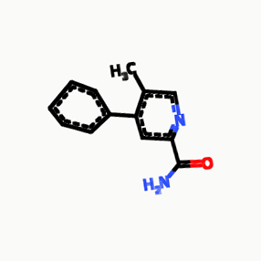 Cc1cnc(C(N)=O)cc1-c1ccccc1